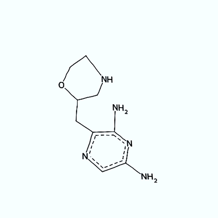 Nc1cnc(CC2CNCCO2)c(N)n1